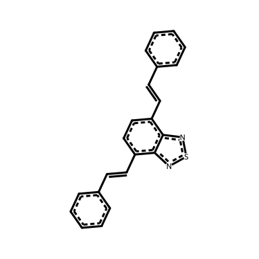 C(=C\c1ccc(/C=C/c2ccccc2)c2nsnc12)/c1ccccc1